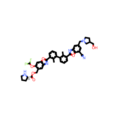 Cc1c(-c2nc3cc(COC(=O)[C@@H]4CCCN4)c(OC(F)F)cc3o2)cccc1-c1cccc(-c2nc3cc(CN4CCC(CO)C4)cc(C#N)c3o2)c1C